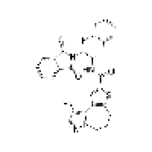 O=C(N[C@@H](Cc1ccccc1F)CN1C(=O)c2ccccc2C1=O)c1cc2c(s1)CCCn1ncc(Cl)c1-2